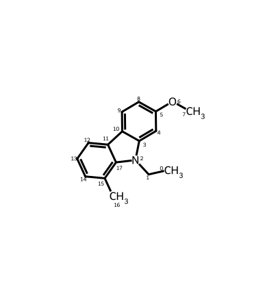 CCn1c2cc(OC)ccc2c2cccc(C)c21